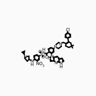 CC1(C)CCC(CN2CCN(c3ccc(C(=O)NS(=O)(=O)c4ccc(NC5CCN(C6CC6)C5)c([N+](=O)[O-])c4)c(-n4ncc5nc6[nH]ccc6cc54)c3)CC2)=C(c2ccc(Cl)cc2)C1